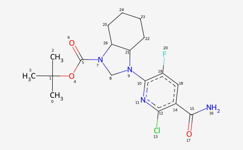 CC(C)(C)OC(=O)N1CN(c2nc(Cl)c(C(N)=O)cc2F)C2CCCCC21